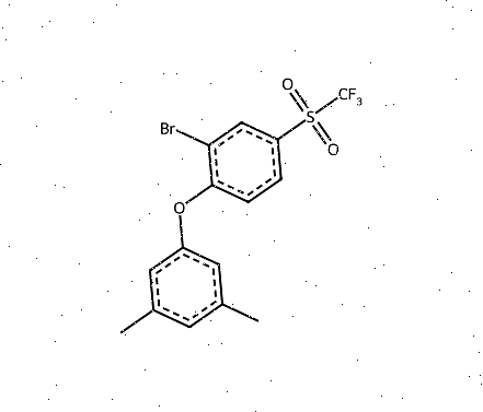 Cc1cc(C)cc(Oc2ccc(S(=O)(=O)C(F)(F)F)cc2Br)c1